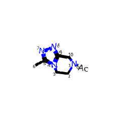 CC(=O)N1CCn2c(C)nnc2C1